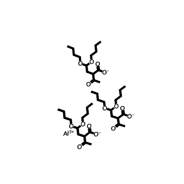 CCCCOC(CC(C(C)=O)C(=O)[O-])OCCCC.CCCCOC(CC(C(C)=O)C(=O)[O-])OCCCC.CCCCOC(CC(C(C)=O)C(=O)[O-])OCCCC.[Al+3]